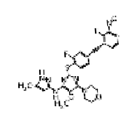 COc1c(Nc2cc(C)[nH]n2)nc(Sc2ccc(C#Cc3cccc(N=O)c3F)cc2F)nc1N1CCOCC1